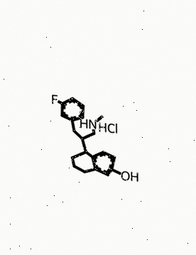 CNCC(Cc1cccc(F)c1)C1CCCc2cc(O)ccc21.Cl